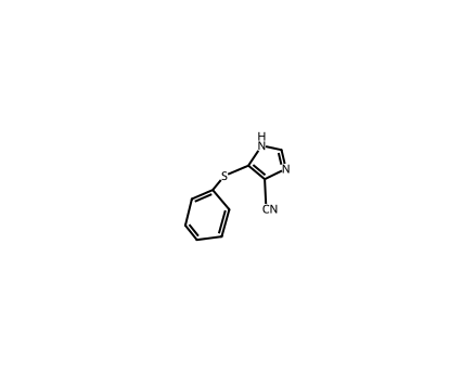 N#Cc1nc[nH]c1Sc1ccccc1